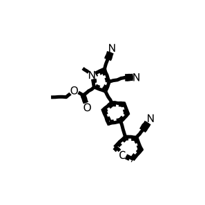 CCOC(=O)c1c(-c2ccc(-c3ccccc3C#N)cc2)c(C#N)c(C#N)n1C